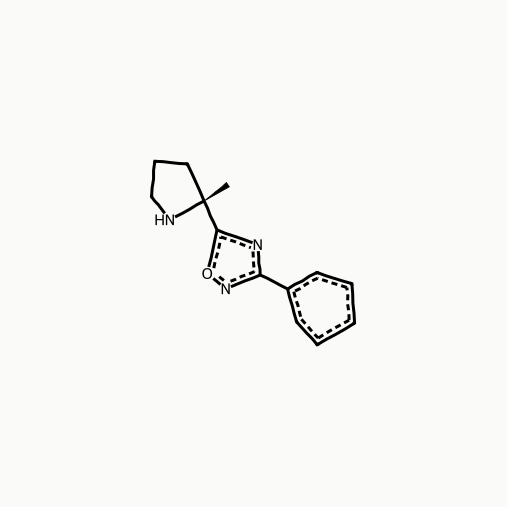 C[C@]1(c2nc(-c3ccccc3)no2)CCCN1